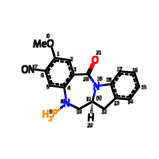 COc1cc2c(cc1N=O)N(P)C[C@@H]1Cc3ccccc3N1C2=O